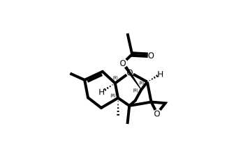 CC(=O)O[C@@H]1CC2(C)C3(CO3)[C@@H]1O[C@@H]1C=C(C)CC[C@@]12C